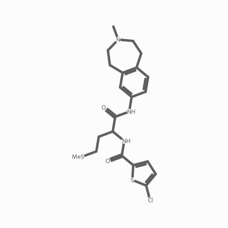 CSCCC(NC(=O)c1ccc(Cl)s1)C(=O)Nc1ccc2c(c1)CCN(C)CC2